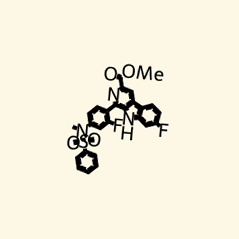 COC(=O)c1cc2c([nH]c3cc(F)ccc32)c(-c2ccc(N(C)S(=O)(=O)c3ccccc3)cc2F)n1